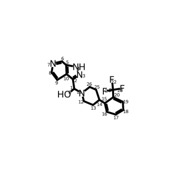 OC(c1n[nH]c2cnccc12)N1CCC(c2ccccc2C(F)(F)F)CC1